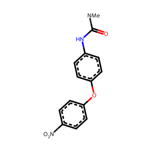 CNC(=O)Nc1ccc(Oc2ccc([N+](=O)[O-])cc2)cc1